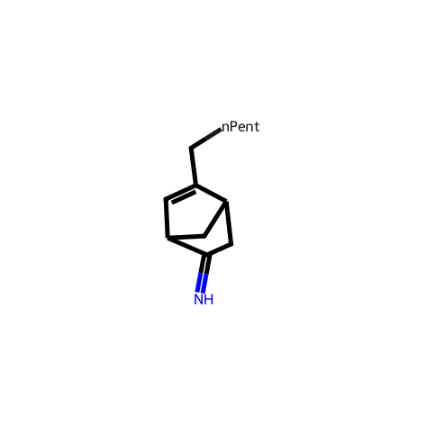 CCCCCCC1=CC2CC1CC2=N